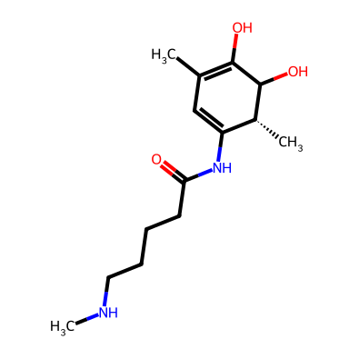 CNCCCCC(=O)NC1=CC(C)=C(O)C(O)[C@@H]1C